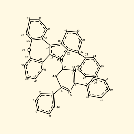 c1ccc(C2=NC(c3ccccc3)=NC(n3c4c(c5cccc(-c6ccccc6)c53)-c3ccccc3Oc3ccccc3-4)C2)cc1